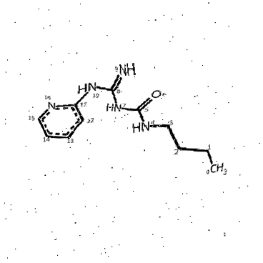 CCCCNC(=O)NC(=N)Nc1ccccn1